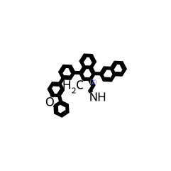 C=c1c(-c2cccc(-c3ccc4oc5ccccc5c4c3)c2)c2ccccc2c(-c2ccc3ccccc3c2)/c1=C/C=N